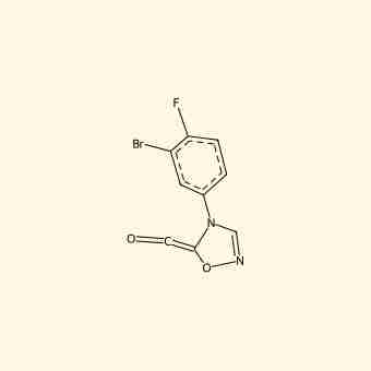 O=C=C1ON=CN1c1ccc(F)c(Br)c1